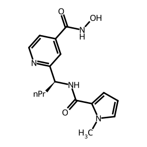 CCC[C@H](NC(=O)c1cccn1C)c1cc(C(=O)NO)ccn1